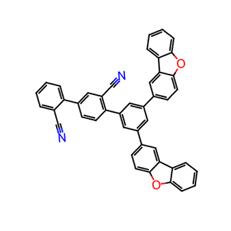 N#Cc1ccccc1-c1ccc(-c2cc(-c3ccc4oc5ccccc5c4c3)cc(-c3ccc4oc5ccccc5c4c3)c2)c(C#N)c1